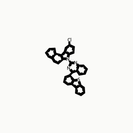 Clc1ccc2c(c1)c1c3ccccc3ccc1n2-c1nc(-c2cccc3c2sc2ccccc23)c2ccccc2n1